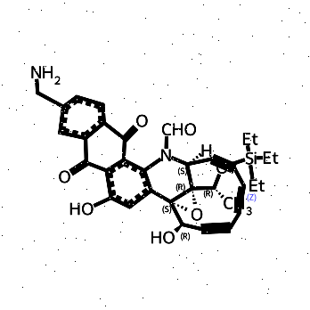 CC[Si](CC)(CC)O[C@H](C)[C@@]12O[C@]13c1cc(O)c4c(c1N(C=O)[C@H]2C#C/C=C\C#C[C@H]3O)C(=O)c1ccc(CN)cc1C4=O